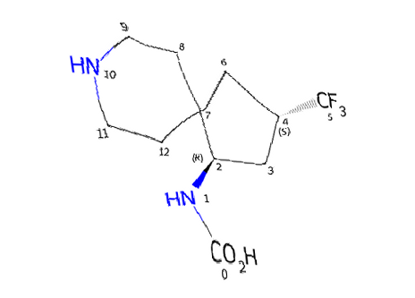 O=C(O)N[C@@H]1C[C@@H](C(F)(F)F)CC12CCNCC2